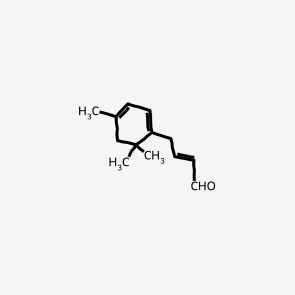 CC1=CC=C(CC=CC=O)C(C)(C)C1